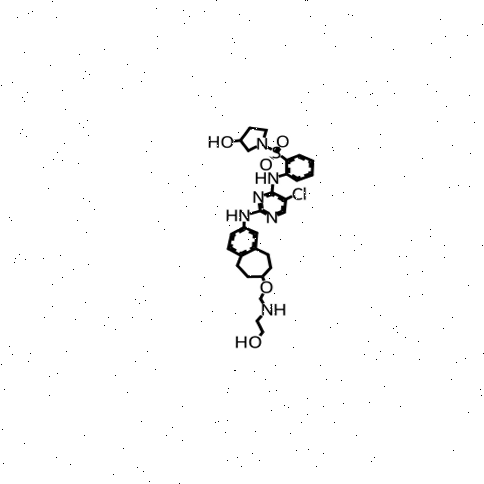 O=S(=O)(c1ccccc1Nc1nc(Nc2ccc3c(c2)CCC(OCNCCO)CC3)ncc1Cl)N1CCC(O)C1